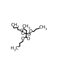 CCCCOOC(CCC)(OOCCCC)C(=O)OCCCC